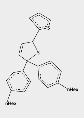 CCCCCCc1ccc(C2(c3ccc(CCCCCC)cc3)C=CC(c3cccs3)S2)cc1